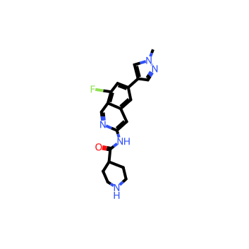 Cn1cc(-c2cc(F)c3cnc(NC(=O)C4CCNCC4)cc3c2)cn1